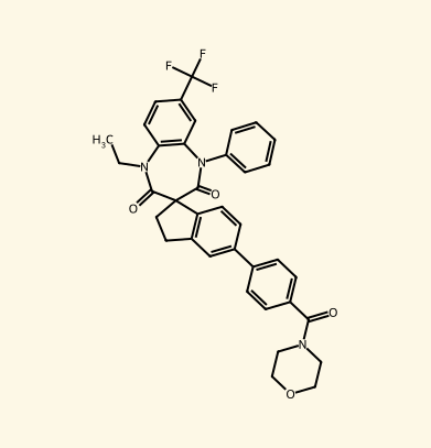 CCN1C(=O)C2(CCc3cc(-c4ccc(C(=O)N5CCOCC5)cc4)ccc32)C(=O)N(c2ccccc2)c2cc(C(F)(F)F)ccc21